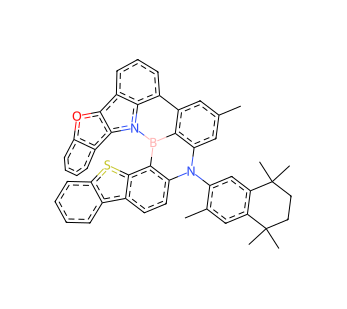 Cc1cc2c3c(c1)N(c1cc4c(cc1C)C(C)(C)CCC4(C)C)c1ccc4c(sc5ccccc54)c1B3n1c3c-2cccc3c2oc3ccccc3c21